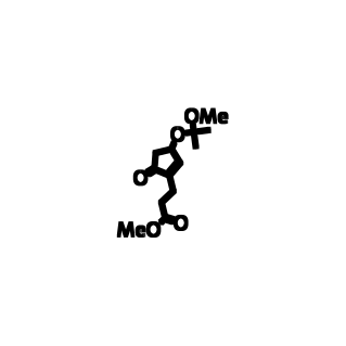 COC(=O)CCC1=CC(OC(C)(C)OC)CC1=O